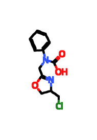 O=C(O)N(CC1=NC(CCl)CO1)c1ccccc1